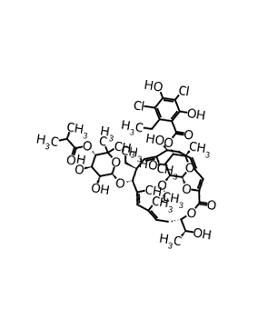 CCc1c(Cl)c(O)c(Cl)c(O)c1C(=O)O[C@H]1[C@H](O)[C@H](OC)[C@H](O/C2=C\C=C\C[C@H](O)/C(C)=C/[C@H](CC)[C@@H](O[C@@H]3OC(C)(C)[C@@H](OC(=O)C(C)C)[C@H](O)[C@@H]3O)/C(C)=C/C(C)=C/C[C@@H]([C@H](C)O)OC2=O)O[C@@H]1C